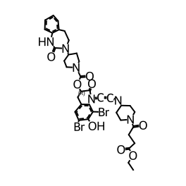 CCOC(=O)CCC(=O)N1CCC(N=C=C=NC(=O)[C@@H](Cc2cc(Br)c(O)c(Br)c2)OC(=O)N2CCC(N3CCc4ccccc4NC3=O)CC2)CC1